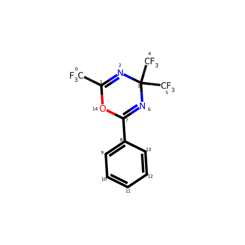 FC(F)(F)C1=NC(C(F)(F)F)(C(F)(F)F)N=C(c2ccccc2)O1